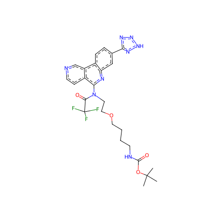 CC(C)(C)OC(=O)NCCCCOCCN(C(=O)C(F)(F)F)c1nc2cc(-c3nn[nH]n3)ccc2c2cnccc12